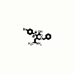 CC(N)=CC(COCc1ccccc1)C(C(=O)O)S(=O)(=O)c1ccc(Br)cc1